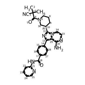 CC(C)(C#N)C(=O)N1CCC[C@@H](c2nc(-c3ccc(C(=O)Nc4ccccn4)cc3)c3c(N)nccn23)C1